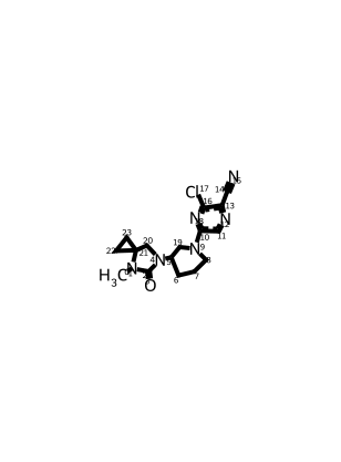 CN1C(=O)N(C2CCCN(c3cnc(C#N)c(Cl)n3)C2)CC12CC2